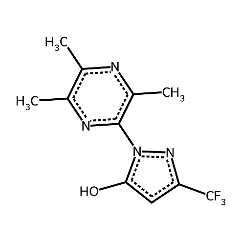 Cc1nc(C)c(-n2nc(C(F)(F)F)cc2O)nc1C